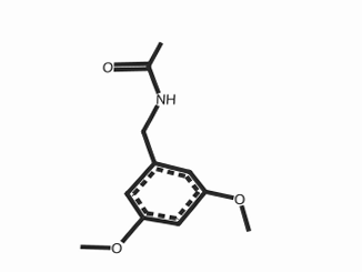 COc1cc(CNC(C)=O)cc(OC)c1